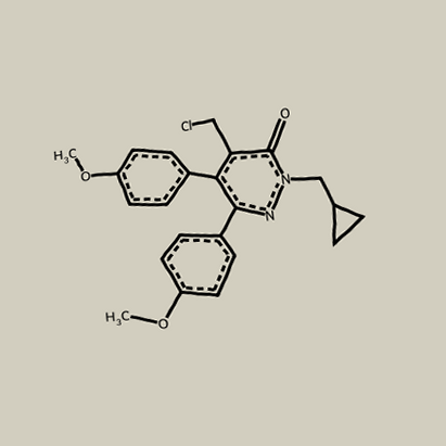 COc1ccc(-c2nn(CC3CC3)c(=O)c(CCl)c2-c2ccc(OC)cc2)cc1